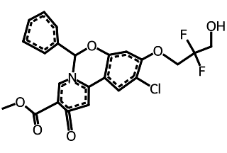 COC(=O)c1cn2c(cc1=O)-c1cc(Cl)c(OCC(F)(F)CO)cc1OC2c1ccccc1